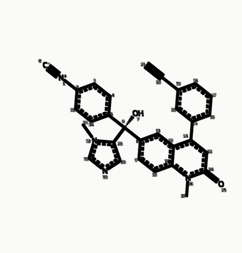 [C-]#[N+]c1ccc([C@@](O)(c2ccc3c(c2)c(-c2cccc(C#C)c2)cc(=O)n3C)c2cncn2C)cc1